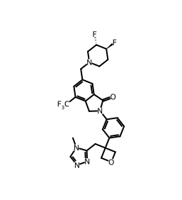 Cn1cnnc1CC1(c2cccc(N3Cc4c(cc(CN5CC[C@H](F)[C@@H](F)C5)cc4C(F)(F)F)C3=O)c2)COC1